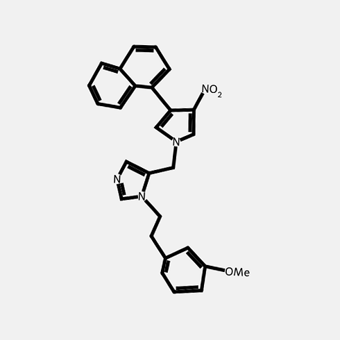 COc1cccc(CCn2cncc2Cn2cc(-c3cccc4ccccc34)c([N+](=O)[O-])c2)c1